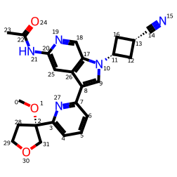 CO[C@@]1(c2cccc(-c3cn([C@H]4C[C@@H](C#N)C4)c4cnc(NC(C)=O)cc34)n2)CCOC1